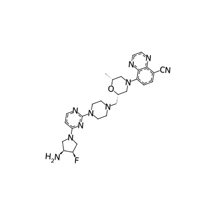 C[C@@H]1CN(c2ccc(C#N)c3nccnc23)C[C@H](CN2CCN(c3nccc(N4C[C@@H](F)[C@@H](N)C4)n3)CC2)O1